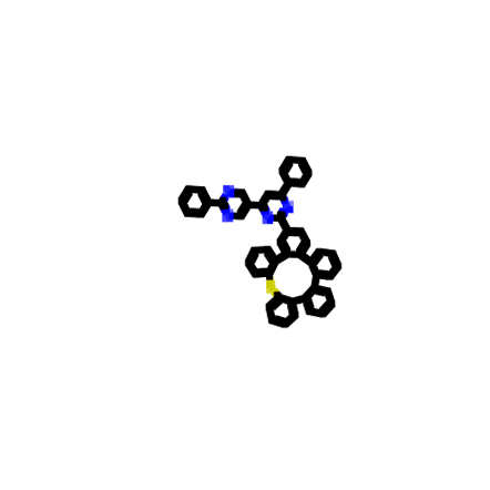 c1ccc(-c2cc(-c3cnc(-c4ccccc4)nc3)nc(-c3ccc4c(c3)-c3ccccc3Sc3ccccc3-c3ccccc3-c3ccccc3-4)n2)cc1